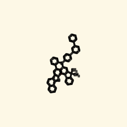 CC1(C)c2ccccc2-c2ccc(N(c3ccc(-c4cccc(-c5ccccc5)c4)cc3)c3ccccc3-c3ccc4oc5c6ccccc6ccc5c4c3)cc21